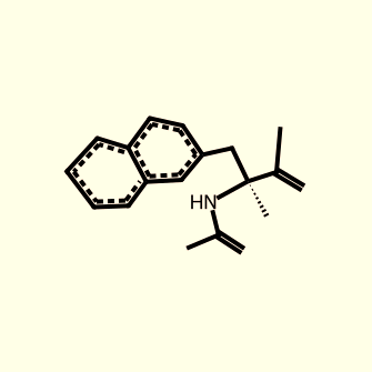 C=C(C)N[C@@](C)(Cc1ccc2ccccc2c1)C(=C)C